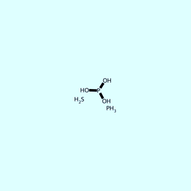 OP(O)O.P.S